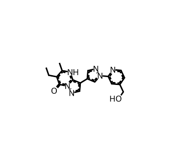 CCc1c(C)[nH]c2c(-c3cnn(-c4cc(CO)ccn4)c3)cnn2c1=O